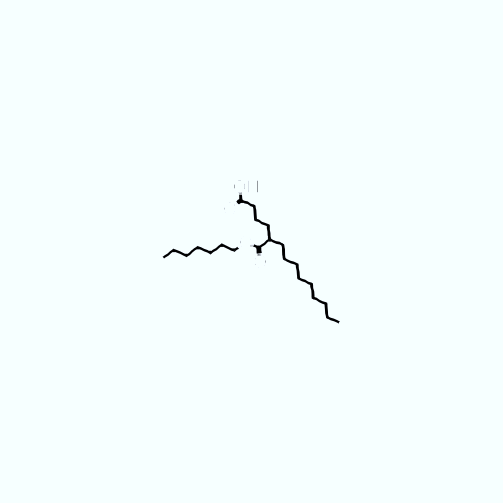 CCCCCCCCCC(CCCC(=O)O)C(=O)OCCCCCCC